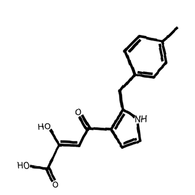 Cc1ccc(Cc2[nH]ccc2C(=O)C=C(O)C(=O)O)cc1